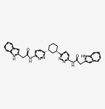 O=C(Cc1cc2ccccc2[nH]1)Nc1ccc([C@@H]2CCC[C@@H](c3ccc(NC(=O)Cc4cc5ccccc5[nH]4)nn3)C2)nn1